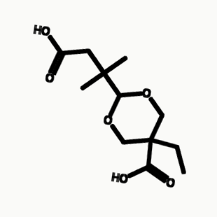 CCC1(C(=O)O)COC(C(C)(C)CC(=O)O)OC1